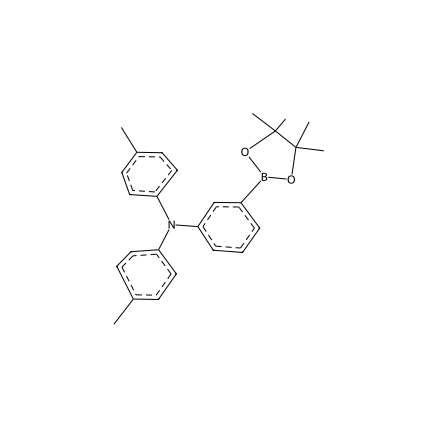 Cc1ccc(N(c2ccc(C)cc2)c2cccc(B3OC(C)(C)C(C)(C)O3)c2)cc1